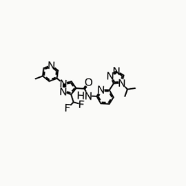 Cc1cncc(-n2cc(C(=O)Nc3cccc(-c4nncn4C(C)C)n3)c(C(F)F)n2)c1